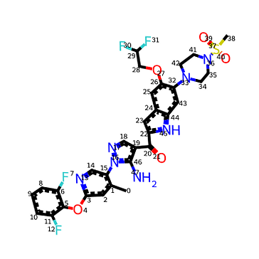 Cc1cc(Oc2c(F)cccc2F)ncc1-n1ncc(C(=O)c2cc3cc(OCC(F)F)c(N4CCN(S(C)(=O)=O)CC4)cc3[nH]2)c1N